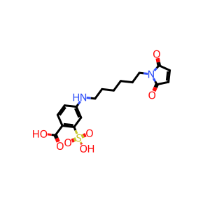 O=C(O)c1ccc(NCCCCCCN2C(=O)C=CC2=O)cc1S(=O)(=O)O